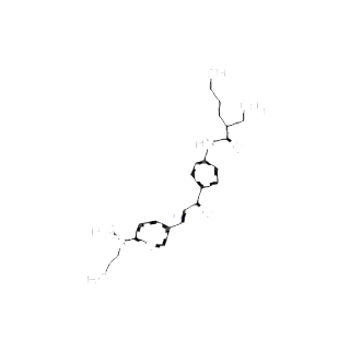 CCCCC(CC)C(=O)Nc1ccc(C(=O)/C=C/c2ccc(N(C)CCO)cc2)cc1